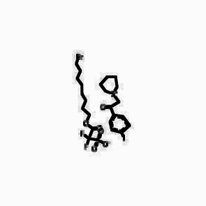 O=C(C[S+]1CCCCC1)c1ccc(I)cc1.O=C(OCCCCCCCCBr)C(F)(F)S(=O)(=O)[O-]